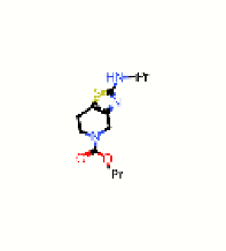 CC(C)Nc1nc2c(s1)CCN(C(=O)OC(C)C)C2